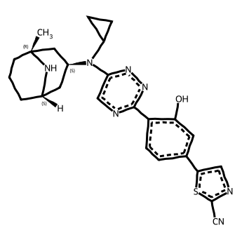 C[C@@]12CCC[C@@H](C[C@H](N(c3cnc(-c4ccc(-c5cnc(C#N)s5)cc4O)nn3)C3CC3)C1)N2